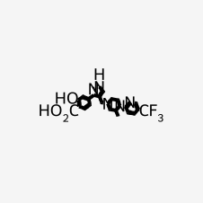 CC1CN(Cc2c[nH]nc2-c2ccc(C(=O)O)c(O)c2)CCN1c1ccc(C(F)(F)F)cn1